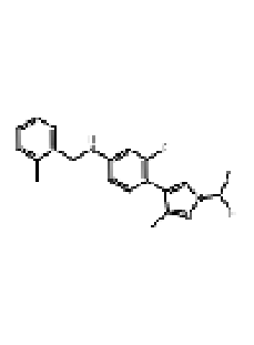 Cc1ccccc1CNc1ccc(-c2cn(C(F)F)nc2C)c(F)c1